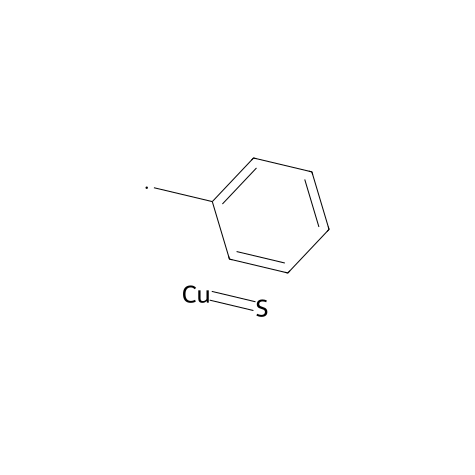 [CH2]c1ccccc1.[S]=[Cu]